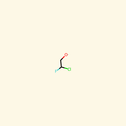 [O]CC(F)Cl